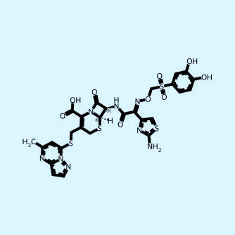 Cc1cc(SCC2=C(C(=O)O)N3C(=O)[C@@H](NC(=O)C(=NOCS(=O)(=O)c4ccc(O)c(O)c4)c4csc(N)n4)[C@H]3SC2)n2nccc2n1